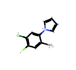 O=[N+]([O-])c1cc(F)c(Cl)cc1-n1cccc1